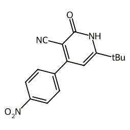 CC(C)(C)c1cc(-c2ccc([N+](=O)[O-])cc2)c(C#N)c(=O)[nH]1